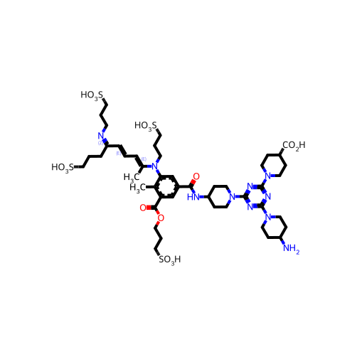 C\C(=C/C=C/C(CCCS(=O)(=O)O)=N\CCCS(=O)(=O)O)N(CCCS(=O)(=O)O)c1cc(C(=O)NC2CCN(c3nc(N4CCC(N)CC4)nc(N4CCC(C(=O)O)CC4)n3)CC2)cc(C(=O)OCCCS(=O)(=O)O)c1C